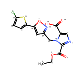 CCOC(=O)c1ncc(C(=O)O)n1Cc1cc(-c2ccc(Cl)s2)on1